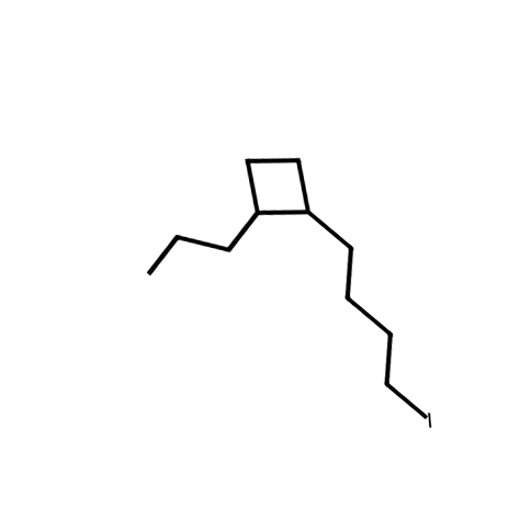 CCCC1CCC1CCCCI